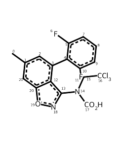 Cc1cc(-c2c(F)cccc2F)c2c(N(CC(Cl)(Cl)Cl)C(=O)O)noc2c1